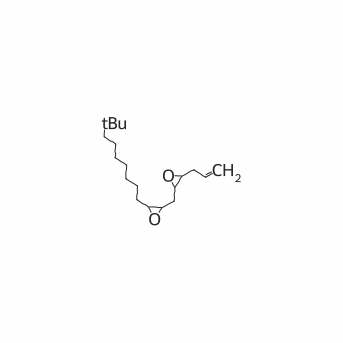 C=CCC1OC1CC1OC1CCCCCCCC(C)(C)C